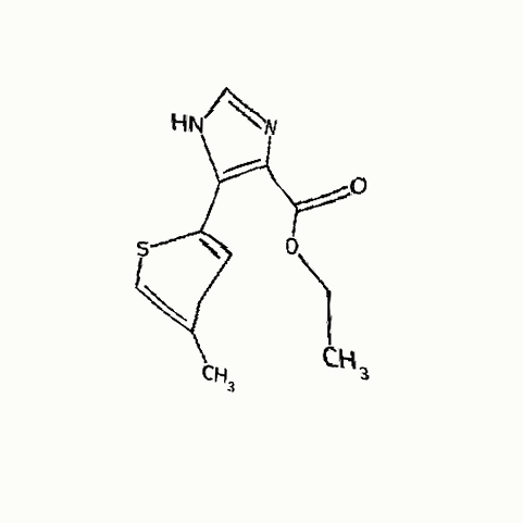 CCOC(=O)c1nc[nH]c1-c1cc(C)cs1